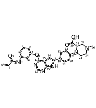 C=CC(=O)Nc1cccc(Oc2ncnc3[nH]c(-c4ccc(N5CCN(C)CC5C(=O)O)cc4)cc23)c1